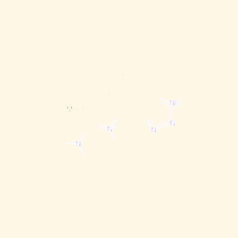 CO/C(N(C)C)=[N+](/C)c1cccc2[nH]nnc12